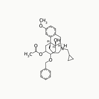 COc1ccc2c(c1)[C@]13CCCN(CC4CC4)[C@H](C2)[C@]1(O)CC(OCc1ccccc1)C(OC(C)=O)C3